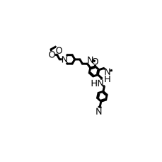 CNCc1c(CNCc2ccc(C#N)cc2)ccc2c(CCC3CCN(CC4OCCO4)CC3)noc12